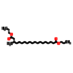 CCCOC(=O)CCCCCCCCCCCCCCCC(C)CC(=O)OCCC